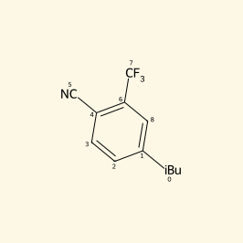 [CH2]C(CC)c1ccc(C#N)c(C(F)(F)F)c1